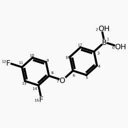 OB(O)c1ccc(Oc2ccc(F)cc2F)cc1